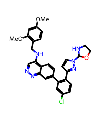 COc1ccc(CNc2cnnc3cc(-c4cc(Cl)ccc4-c4ccn(C5NCCO5)n4)ccc23)c(OC)c1